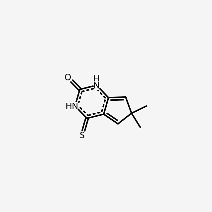 CC1(C)C=c2[nH]c(=O)[nH]c(=S)c2=C1